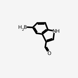 Bc1ccc2[nH]cc(C=O)c2c1